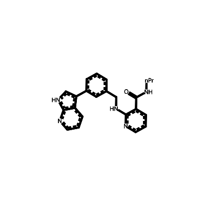 CCCNC(=O)c1cccnc1NCc1cccc(-c2c[nH]c3ncccc23)c1